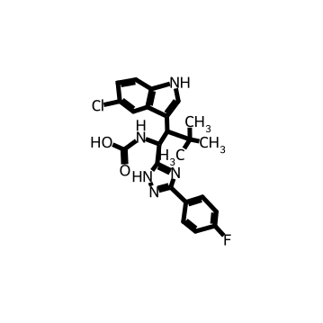 CC(C)(C)C(c1c[nH]c2ccc(Cl)cc12)C(NC(=O)O)c1nc(-c2ccc(F)cc2)n[nH]1